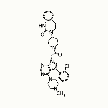 CN1CCN(c2ncnc3c2c(-c2ccccc2Cl)cn3CC(=O)N2CCC(N3CCc4ccccc4NC3=O)CC2)CC1